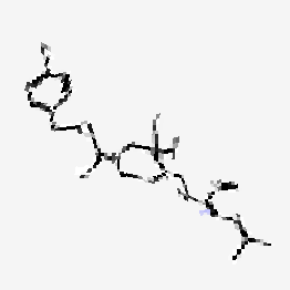 C=N/C(=C\N=C(C)C)NC[C@H]1CCN(C(=O)OCc2ccc(Cl)cc2)CC1(F)F